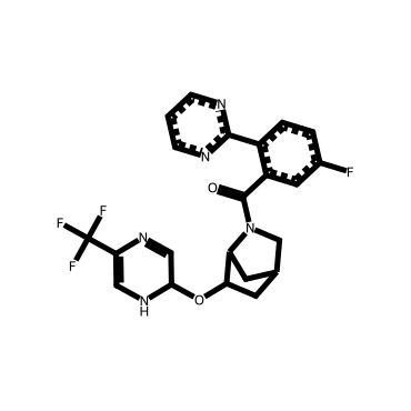 O=C(c1cc(F)ccc1-c1ncccn1)N1CC2CC(OC3C=NC(C(F)(F)F)=CN3)C1C2